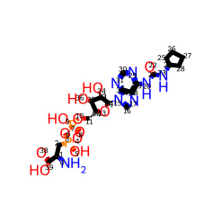 NC(CP(=O)(O)OP(=O)(O)OC[C@H]1O[C@@H](n2cnc3c(NC(=O)NC4CCCC4)ncnc32)[C@@H](O)C1O)C(=O)O